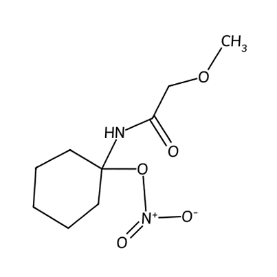 COCC(=O)NC1(O[N+](=O)[O-])CCCCC1